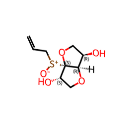 C=CC[S+]([O-])[C@]12OC[C@@H](O)[C@H]1OC[C@@H]2O